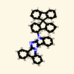 c1ccc2c(c1)-c1ccccc1C21c2ccccc2-c2c(-n3c4ccccc4c4c3nc3c5ccccc5c5ccccc5n34)cccc21